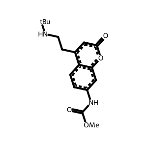 COC(=O)Nc1ccc2c(CCNC(C)(C)C)cc(=O)oc2c1